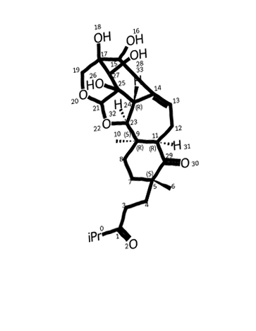 CC(C)C(=O)CC[C@]1(C)CC[C@]2(C)[C@@H](CC=C3C(O)C4(O)COC5O[C@H]2[C@@H]3C5(O)C4O)C1=O